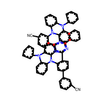 N#Cc1cccc(-c2ccc(-c3nc(-c4ccccc4)nc(-c4ccc(C#N)cc4N4c5ccccc5N(c5ccccc5)c5ccccc54)n3)c(N3c4ccccc4N(c4ccccc4)c4ccccc43)c2)c1